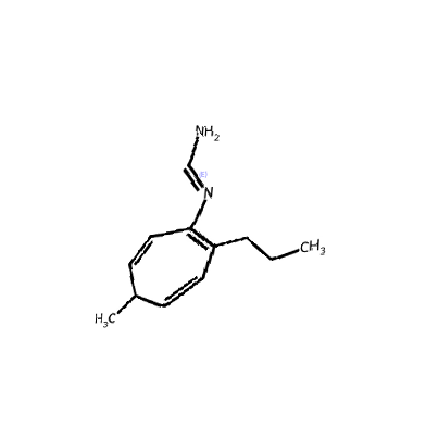 CCCC1=C(/N=C/N)C=CC(C)C=C1